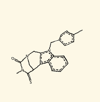 Cc1ccc(Cn2c3c(c4ccccc42)C2CN(C3)C(=O)N(C)C2=S)cc1